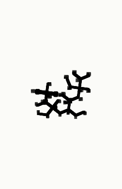 CCC(CC(C)(CC)N(C)S(C)(=O)=O)N(C)CC(C)(CC)C(C)C